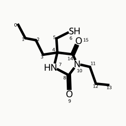 CCCCC1(CS)NC(=O)N(CCC)C1=O